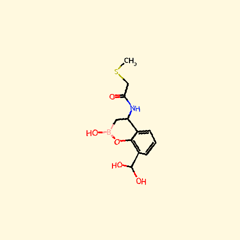 CSCC(=O)NC1CB(O)Oc2c(C(O)O)cccc21